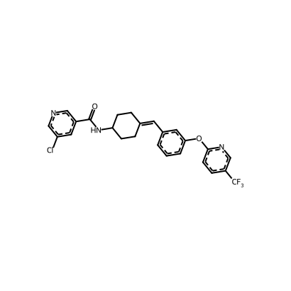 O=C(NC1CCC(=Cc2cccc(Oc3ccc(C(F)(F)F)cn3)c2)CC1)c1cncc(Cl)c1